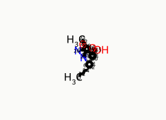 CCCCC[C@H]1CC[C@H](c2ccc(C(=O)O)c(-c3ccc(OCC)c(C#N)c3C#N)c2)CC1